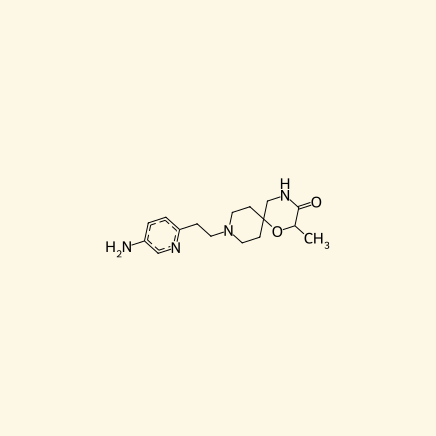 CC1OC2(CCN(CCc3ccc(N)cn3)CC2)CNC1=O